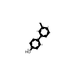 Cc1[c]ccc(-c2ccc(O)cc2)c1